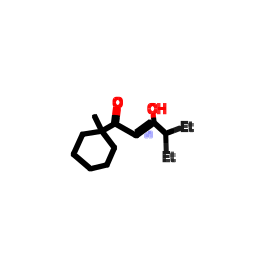 CCC(CC)/C(O)=C/C(=O)C1(C)CCCCC1